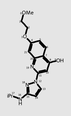 COCCOc1ccc2c(O)cc(-n3ccc(NC(C)C)n3)nc2c1